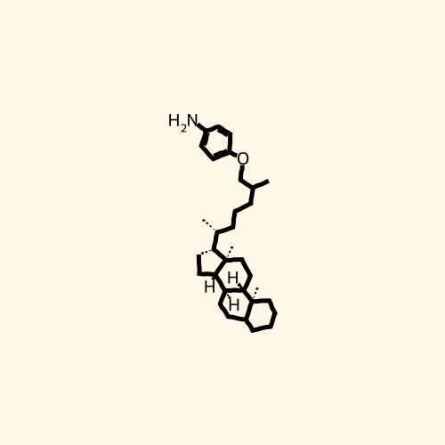 CC(CCC[C@@H](C)[C@H]1CC[C@H]2[C@@H]3CCC4CCCC[C@]4(C)[C@H]3CC[C@]12C)COc1ccc(N)cc1